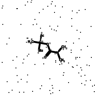 CC(=O)[C@](C)(OC(=O)N(C)C)C(C)(C)C